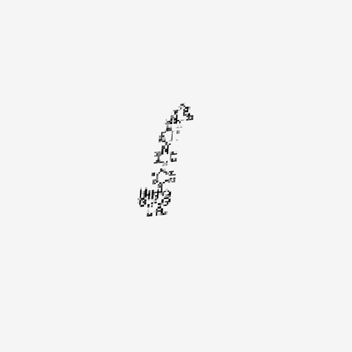 COC(=O)[C@@H](NC(=O)c1ccc(C2CCN(c3ccc(CN4CCOCC4)cc3)CC2)cc1)[C@@H](C)O